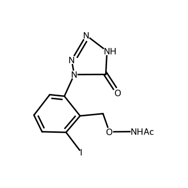 CC(=O)NOCc1c(I)cccc1-n1nn[nH]c1=O